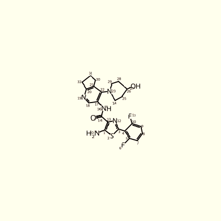 Nc1sc(-c2c(F)cccc2F)nc1C(=O)Nc1cnc2c(c1N1CCC(O)CC1)CCC2